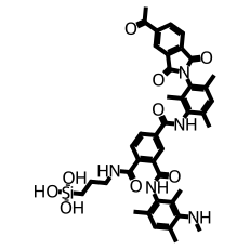 CNc1c(C)cc(C)c(NC(=O)c2cc(C(=O)Nc3c(C)cc(C)c(N4C(=O)c5ccc(C(C)=O)cc5C4=O)c3C)ccc2C(=O)NCCC[Si](O)(O)O)c1C